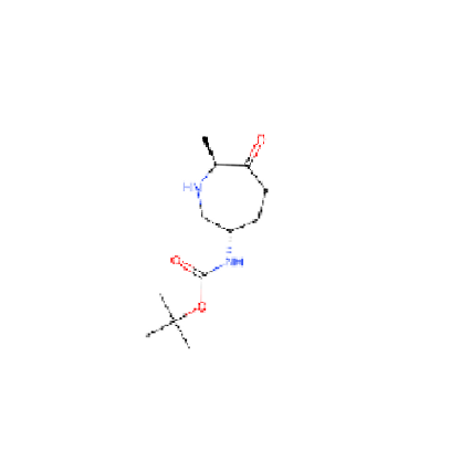 C[C@@H]1NC[C@@H](NC(=O)OC(C)(C)C)CCC1=O